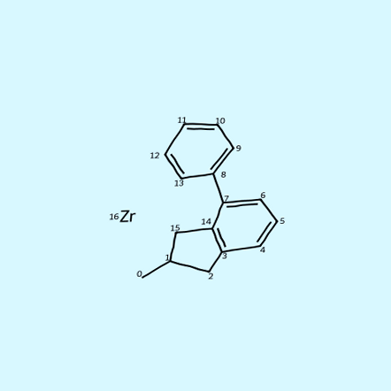 CC1Cc2cccc(-c3ccccc3)c2C1.[Zr]